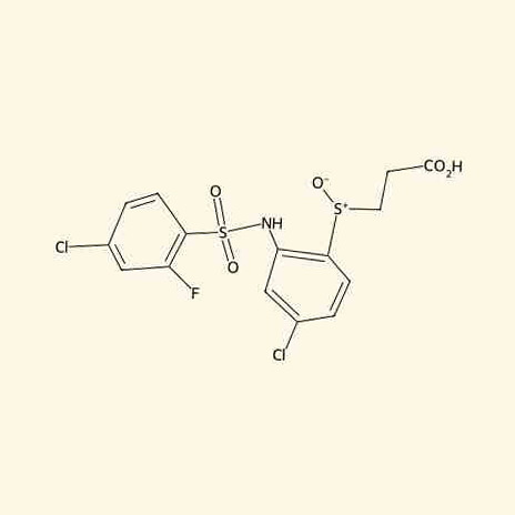 O=C(O)CC[S+]([O-])c1ccc(Cl)cc1NS(=O)(=O)c1ccc(Cl)cc1F